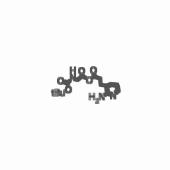 CC(C)(C)OC(=O)NCC(=O)OC(=O)CCc1cccnc1N